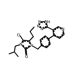 CCCc1c(Cl)n(CC(C)C)c(=O)n1Cc1ccc(-c2ccncc2-c2nnn[nH]2)cc1